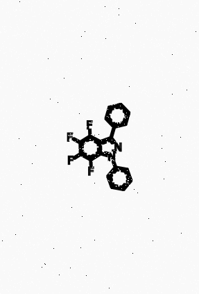 Fc1c(F)c(F)c2c(c(-c3ccccc3)nn2-c2ccccc2)c1F